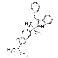 CC(C)c1cc2cc(C(C)(C)c3nc4ccccc4n3Cc3ccccc3)ccc2o1